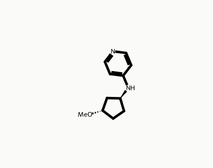 CO[C@H]1CC[C@H](Nc2ccncc2)C1